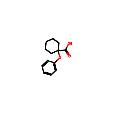 O=C(O)C1(Oc2[c]cccc2)CCCCC1